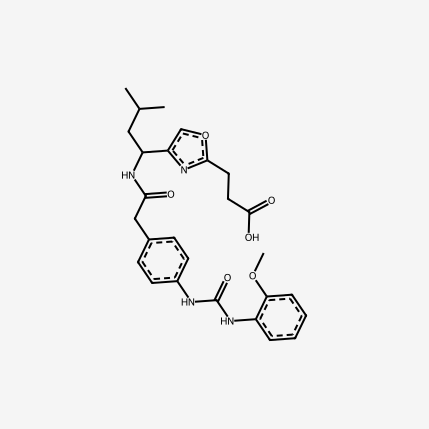 COc1ccccc1NC(=O)Nc1ccc(CC(=O)NC(CC(C)C)c2coc(CCC(=O)O)n2)cc1